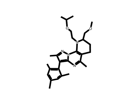 COCC1CCc2c(C)nc3c(-c4c(C)cc(C)cc4C)c(C)nn3c2N1CCOC(C)C